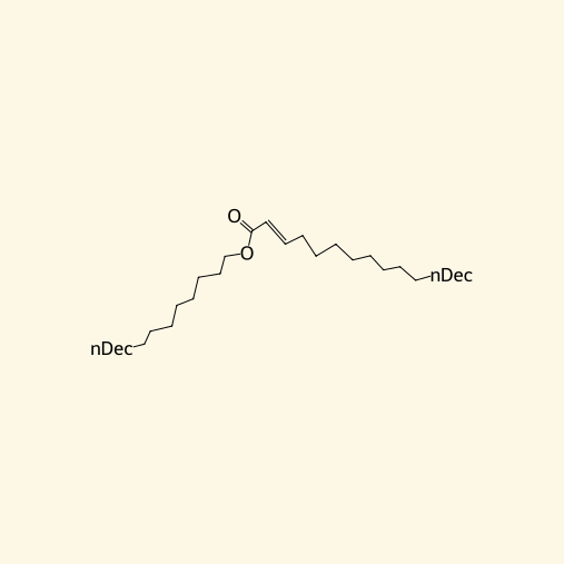 CCCCCCCCCCCCCCCCCCC=CC(=O)OCCCCCCCCCCCCCCCCCC